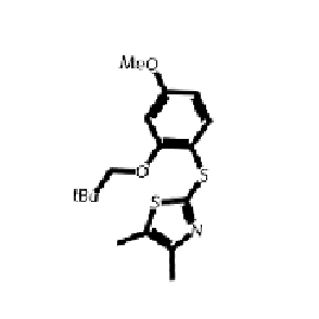 COc1ccc(Sc2nc(C)c(C)s2)c(OCC(C)(C)C)c1